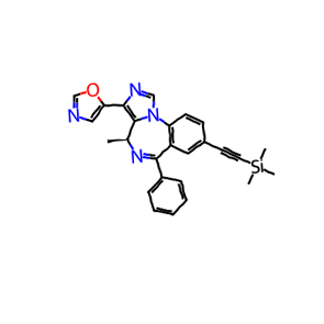 C[C@@H]1N=C(c2ccccc2)c2cc(C#C[Si](C)(C)C)ccc2-n2cnc(-c3cnco3)c21